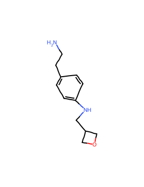 NCCc1ccc(NCC2COC2)cc1